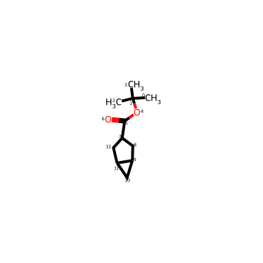 CC(C)(C)OC(=O)C1CC2CC2C1